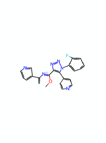 C=C(/N=C(\OC)c1nnn(-c2ccccc2F)c1-c1ccncc1)c1cccnc1